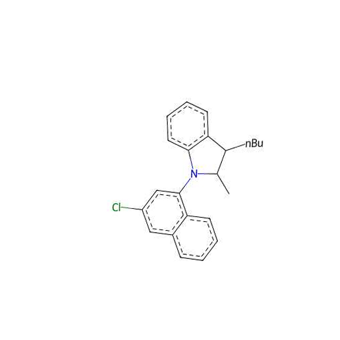 CCCCC1c2ccccc2N(c2cc(Cl)cc3ccccc23)C1C